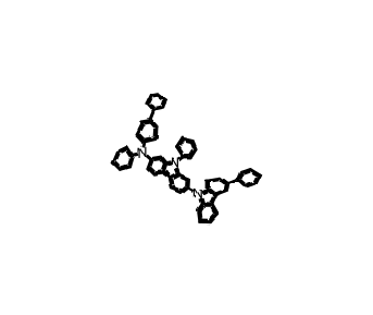 c1ccc(-c2ccc(N(c3ccccc3)c3ccc4c5ccc(-n6c7ccccc7c7cc(-c8ccccc8)ccc76)cc5n(-c5ccccc5)c4c3)cc2)cc1